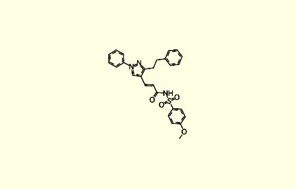 COc1ccc(S(=O)(=O)NC(=O)/C=C/c2cn(-c3ccccc3)nc2CCc2ccccc2)cc1